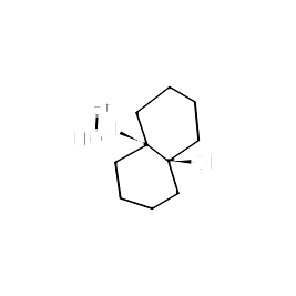 CCO.O[C@]12CCCC[C@H]1CCCC2